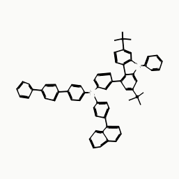 CC(C)(C)c1ccc2c3c(-c4cccc(N(c5ccc(-c6ccc(-c7ccccc7)cc6)cc5)c5ccc(-c6cccc7ccccc67)cc5)c4)cc(C(C)(C)C)cc3n(-c3ccccc3)c2c1